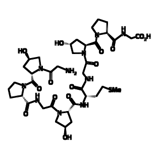 CSCC[C@H](NC(=O)[C@@H]1C[C@@H](O)CN1C(=O)CNC(=O)[C@@H]1CCCN1C(=O)[C@@H]1C[C@@H](O)CN1C(=O)CN)C(=O)NCC(=O)N1C[C@H](O)C[C@H]1C(=O)N1CCC[C@H]1C(=O)NCC(=O)O